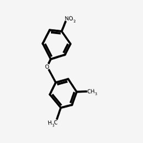 Cc1cc(C)cc(Oc2ccc([N+](=O)[O-])cc2)c1